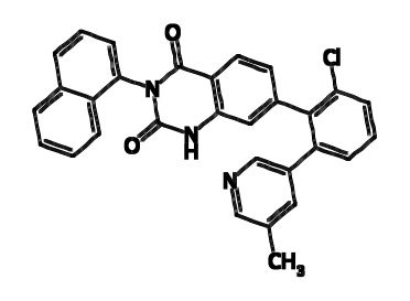 Cc1cncc(-c2cccc(Cl)c2-c2ccc3c(=O)n(-c4cccc5ccccc45)c(=O)[nH]c3c2)c1